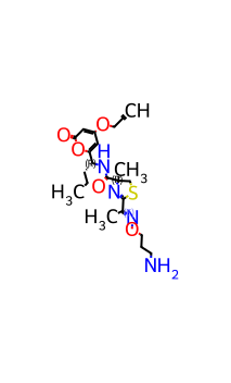 C#CCOc1cc([C@@H](CCC)NC(=O)[C@]2(C)CSC(/C(C)=N/OCCCN)=N2)oc(=O)c1